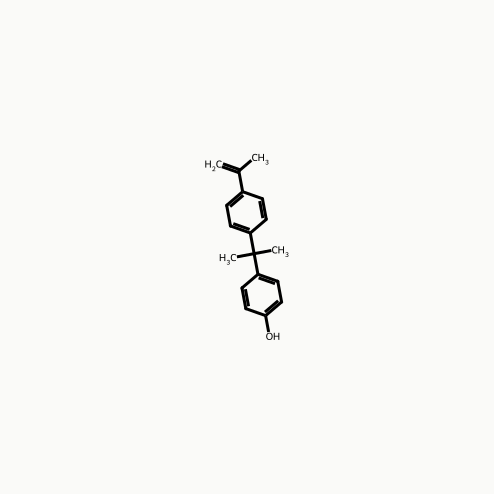 C=C(C)c1ccc(C(C)(C)c2ccc(O)cc2)cc1